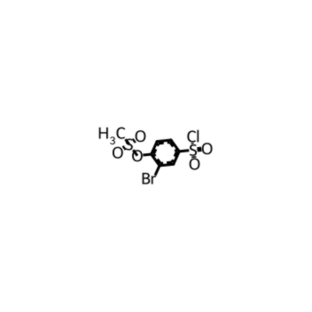 CS(=O)(=O)Oc1ccc(S(=O)(=O)Cl)cc1Br